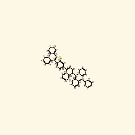 c1ccc(-c2c3ccccc3c(-c3ccc(-c4ccc5c(c4)sc4c6ccccc6c6ccccc6c54)c4ccccc34)c3ccccc23)cc1